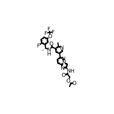 CC(=O)OCC(=O)Nc1cn2nc(-c3cnc(C)c(C(=O)N[C@H](C)c4cc(OC(F)(F)F)ccc4F)c3)ccc2n1